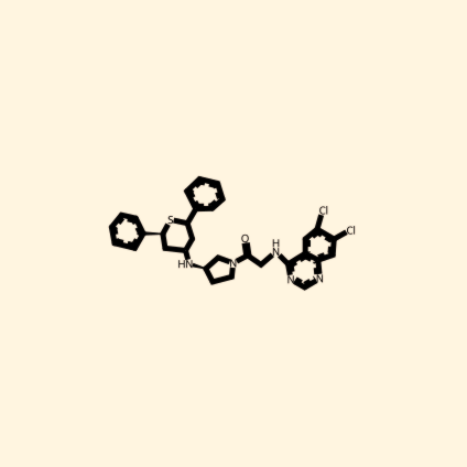 O=C(CNc1ncnc2cc(Cl)c(Cl)cc12)N1CC[C@@H](NC2CC(c3ccccc3)S[C@H](c3ccccc3)C2)C1